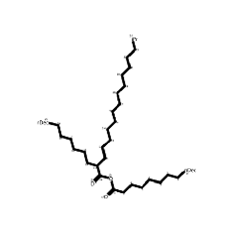 CCCCCCCCCCCCCCCCCC(=O)OC(=O)C(CCCCCCCCCCCCCCCC)CCCCCCCCCCCCCC(C)C